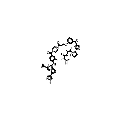 CN[C@@H](C)C(=O)N[C@@H](C)C(=O)N1CCC[C@H]1c1nc(C(=O)c2cccc(OCCC(=O)N3CCN(C(=O)c4ccc(Nc5nc(C6CC6)cn6c(-c7cn[nH]c7)cnc56)c(F)c4)CC3)c2)cs1